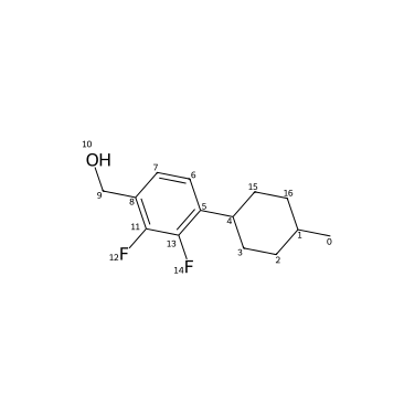 CC1CCC(c2ccc(CO)c(F)c2F)CC1